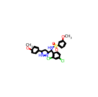 COc1ccc(C2CC(C(NS(=O)(=O)c3cccc(OC)c3)c3ccc(Cl)cc3Cl)=NN2)cc1